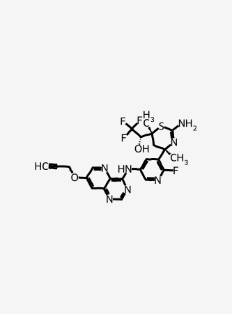 C#CCOc1cnc2c(Nc3cnc(F)c([C@]4(C)C[C@](C)([C@H](O)C(F)(F)F)SC(N)=N4)c3)ncnc2c1